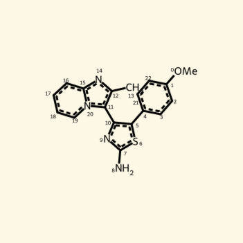 COc1ccc(-c2sc(N)nc2-c2c(C)nc3ccccn23)cc1